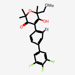 CCc1cc(-c2cc(F)c(F)c(F)c2)ccc1C1=C(O)C(C)(COC)OC(C)(C)C1=O